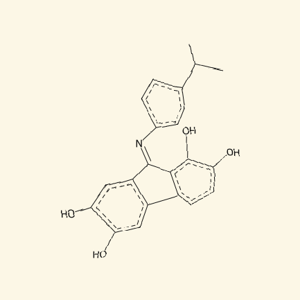 CC(C)c1ccc(N=C2c3cc(O)c(O)cc3-c3ccc(O)c(O)c32)cc1